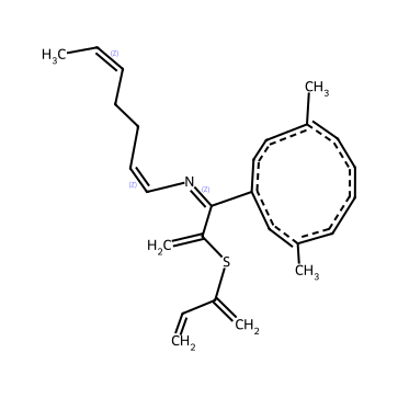 C=CC(=C)SC(=C)/C(=N\C=C/CC/C=C\C)c1ccc(C)ccccc(C)c1